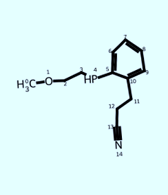 COCCPc1ccccc1CCC#N